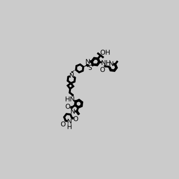 C=C1c2cccc(NCCC3CC4(CCN(C[C@H]5CC[C@H](c6nc7cc(C(C)(C)O)c(NC(=O)c8cccc(C)n8)cc7s6)CC5)CC4)C3)c2C(=O)N1C1CCC(=O)NC1=O